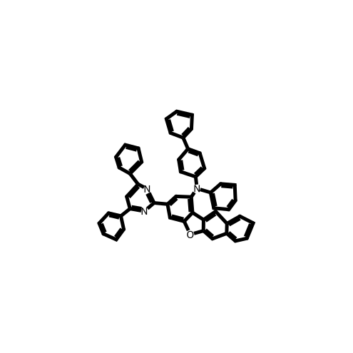 c1ccc(-c2ccc(N(c3ccccc3)c3cc(-c4nc(-c5ccccc5)cc(-c5ccccc5)n4)cc4oc5cc6ccccc6cc5c34)cc2)cc1